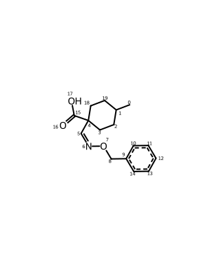 CC1CCC(/C=N\OCc2ccccc2)(C(=O)O)CC1